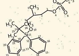 CC(CCOS(C)(=O)=O)CO[Si](c1ccccc1)(c1ccccc1)C(C)(C)C